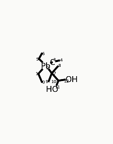 C[CH2][Pb]([CH2]C)([CH2]C)[C](C)(C)C(O)O